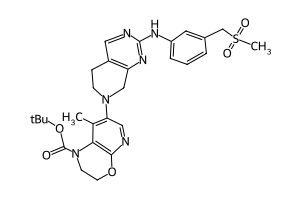 Cc1c(N2CCc3cnc(Nc4cccc(CS(C)(=O)=O)c4)nc3C2)cnc2c1N(C(=O)OC(C)(C)C)CCO2